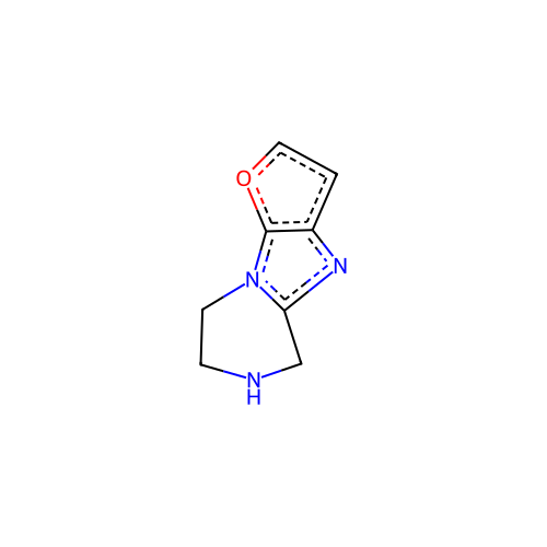 c1cc2nc3n(c2o1)CCNC3